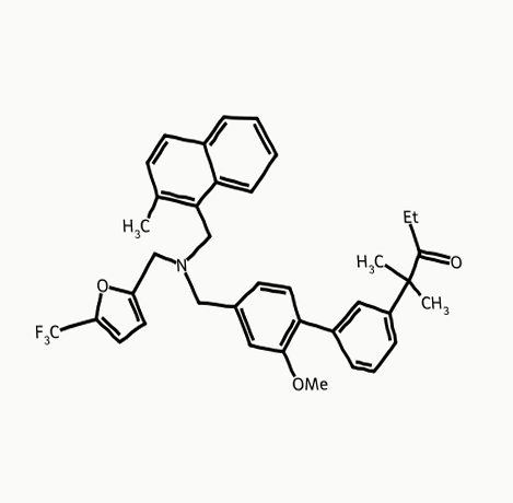 CCC(=O)C(C)(C)c1cccc(-c2ccc(CN(Cc3ccc(C(F)(F)F)o3)Cc3c(C)ccc4ccccc34)cc2OC)c1